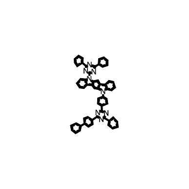 c1ccc(-c2ccc(-c3nc(-c4ccccc4)nc(-c4ccc(-n5c6ccccc6c6cc7c(cc65)c5ccccc5n7-c5nc(-c6ccccc6)nc(-c6ccccc6)n5)cc4)n3)cc2)cc1